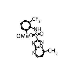 COc1cccc(C(F)(F)F)c1NS(=O)(=O)c1nc2nccc(C)n2n1